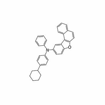 c1ccc(N(c2ccc(C3CCCCC3)cc2)c2ccc3oc4ccc5ccccc5c4c3c2)cc1